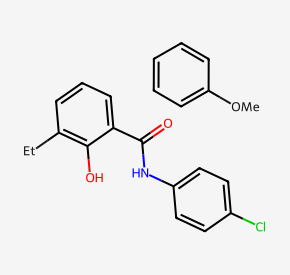 CCc1cccc(C(=O)Nc2ccc(Cl)cc2)c1O.COc1ccccc1